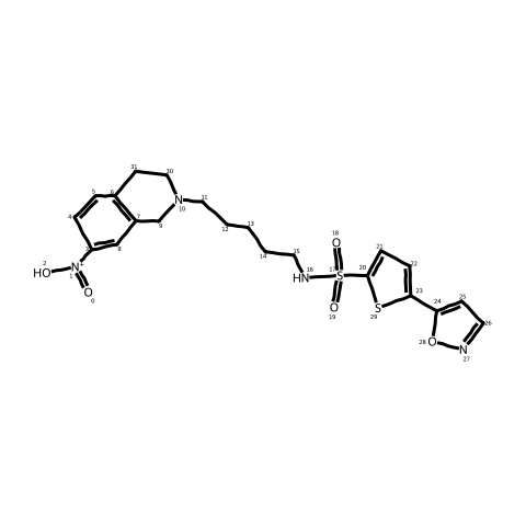 O=[N+](O)c1ccc2c(c1)CN(CCCCCNS(=O)(=O)c1ccc(-c3ccno3)s1)CC2